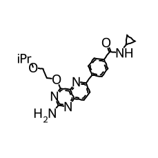 CC(C)OCCOc1nc(N)nc2ccc(-c3ccc(C(=O)NC4CC4)cc3)nc12